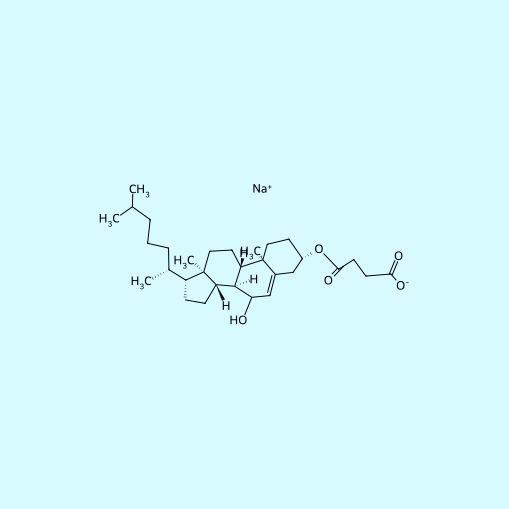 CC(C)CCC[C@@H](C)[C@H]1CC[C@H]2[C@@H]3C(O)C=C4C[C@@H](OC(=O)CCC(=O)[O-])CC[C@]4(C)[C@H]3CC[C@]12C.[Na+]